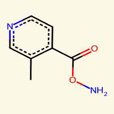 Cc1cnccc1C(=O)ON